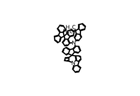 CC1(C)c2ccccc2-c2ccc(N(c3cccc4c3-c3ccccc3C43c4ccccc4-c4ccccc43)c3cccc4c3-c3ccccc3C43c4ccccc4-n4c5ccccc5c5cccc3c54)cc21